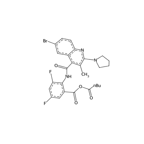 CCCCC(=O)OC(=O)c1cc(F)cc(F)c1NC(=O)c1c(C)c(N2CCCC2)nc2ccc(Br)cc12